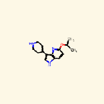 CC(C)Oc1ccc2[nH]cc(C3=CCNCC3)c2n1